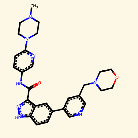 CN1CCN(c2ccc(NC(=O)c3n[nH]c4ccc(-c5cncc(CN6CCOCC6)c5)cc34)cn2)CC1